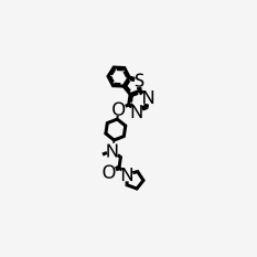 CN(CC(=O)N1CCCC1)[C@H]1CC[C@H](Oc2ncnc3sc4ccccc4c23)CC1